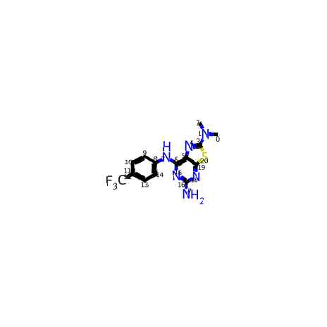 CN(C)c1nc2c(Nc3ccc(C(F)(F)F)cc3)nc(N)nc2s1